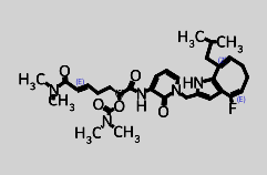 CC(C)C/C1=C/CC/C=C(/F)c2cc(Cn3cccc(NC(=O)[C@H](CC/C=C/C(=O)N(C)C)OC(=O)N(C)C)c3=O)[nH]c21